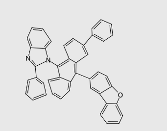 c1ccc(-c2ccc3c(-n4c(-c5ccccc5)nc5ccccc54)c4ccccc4c(-c4ccc5oc6ccccc6c5c4)c3c2)cc1